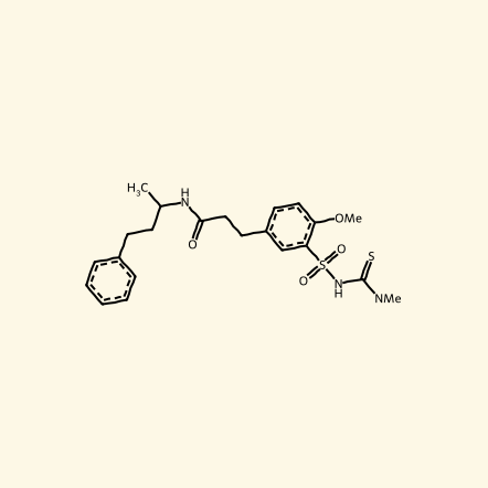 CNC(=S)NS(=O)(=O)c1cc(CCC(=O)NC(C)CCc2ccccc2)ccc1OC